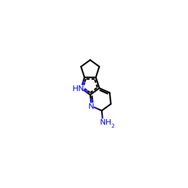 NC1CC=c2c3c([nH]c2=N1)CCC3